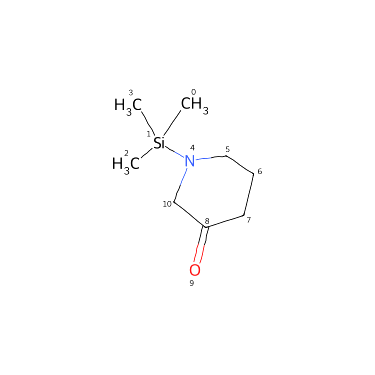 C[Si](C)(C)N1CCCC(=O)C1